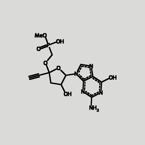 C#CC1(OCP(=O)(O)OC)CC(O)C(n2cnc3c(O)nc(N)nc32)O1